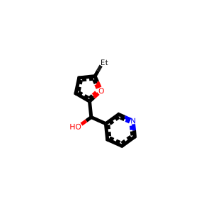 CCc1ccc(C(O)c2cccnc2)o1